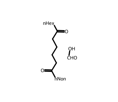 CCCCCCCCCC(=O)CCCCC(=O)CCCCCC.O=CO